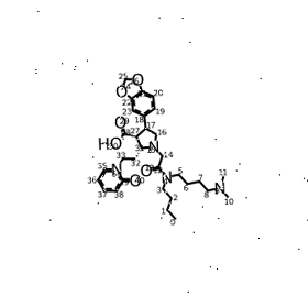 CCCCN(CCCCN(C)C)C(=O)CN1CC(c2ccc3c(c2)OCO3)[C@H](C(=O)O)[C@H]1CCn1ccccc1=O